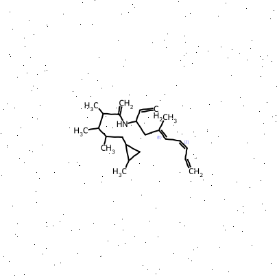 C=C/C=C\C=C(/C)CC(C=C)NC(=C)C(C)C(C)C(C)CC1CC1C